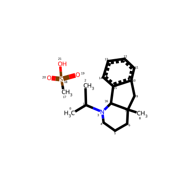 CC(C)N1CCCC2(C)Cc3ccccc3C12.CS(=O)(=O)O